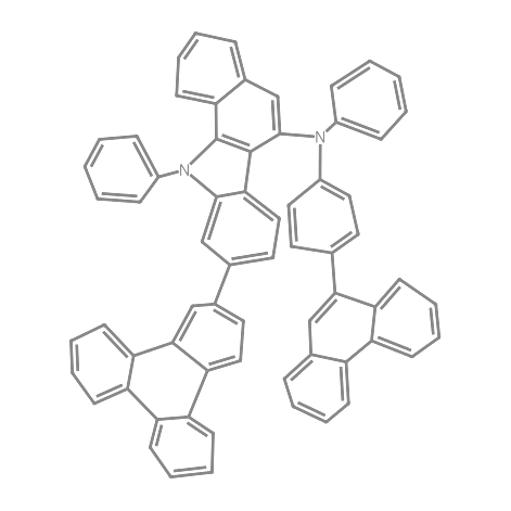 c1ccc(N(c2ccc(-c3cc4ccccc4c4ccccc34)cc2)c2cc3ccccc3c3c2c2ccc(-c4ccc5c6ccccc6c6ccccc6c5c4)cc2n3-c2ccccc2)cc1